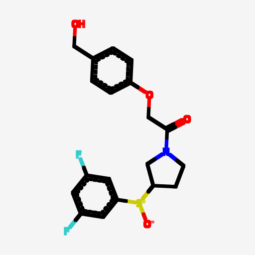 O=C(COc1ccc(CO)cc1)N1CCC([S+]([O-])c2cc(F)cc(F)c2)C1